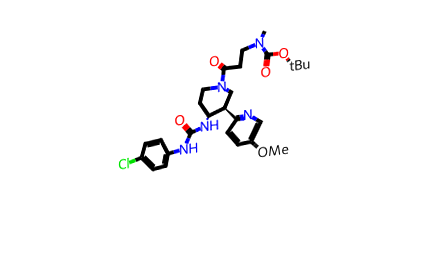 COc1ccc([C@@H]2CN(C(=O)CCN(C)C(=O)OC(C)(C)C)CC[C@H]2NC(=O)Nc2ccc(Cl)cc2)nc1